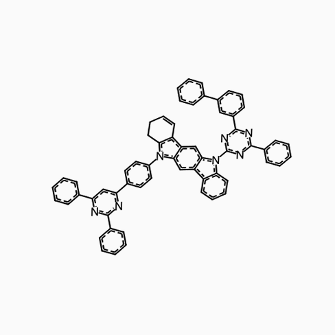 C1=Cc2c(n(-c3ccc(-c4cc(-c5ccccc5)nc(-c5ccccc5)n4)cc3)c3cc4c5ccccc5n(-c5nc(-c6ccccc6)nc(-c6cccc(-c7ccccc7)c6)n5)c4cc23)CC1